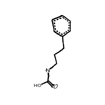 O=C(O)[N]CCCc1ccccc1